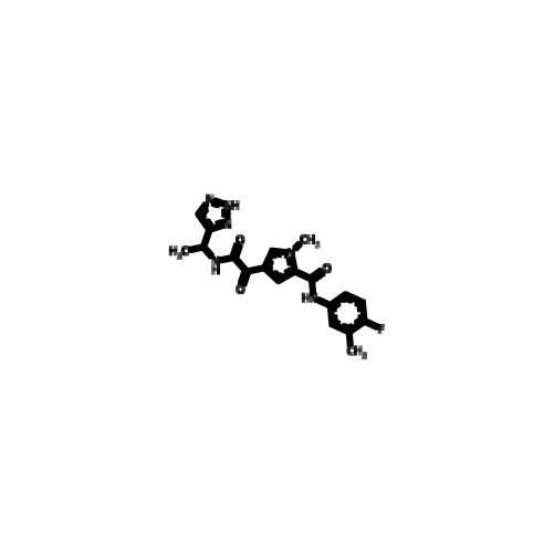 Cc1cc(NC(=O)c2cc(C(=O)C(=O)NC(C)c3cn[nH]n3)cn2C)ccc1F